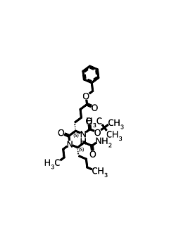 CCCC[C@@H](CC(N)=O)N(CCC)C(=O)[C@H](CCCC(=O)OCc1ccccc1)NC(=O)OC(C)(C)C